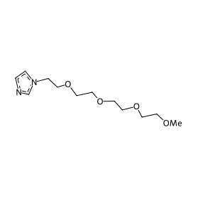 COCCOCCOCCOCCn1ccnc1